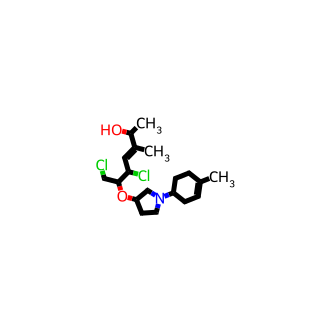 CC1=CCC(N2CCC(OC(CCl)C(Cl)/C=C(\C)C(C)O)C2)CC1